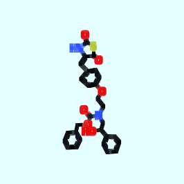 O=C1NC(=Cc2ccc(OCCN(CC(O)c3ccccc3)C(=O)OCc3ccccc3)cc2)C(=O)S1